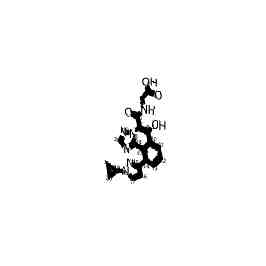 O=C(O)CNC(=O)c1c(O)c2cccc(-c3ccn(C4CC4)n3)c2c2ncnn12